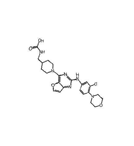 O=C(O)NCC1CCN(c2nc(Nc3ccc(N4CCOCC4)c(Cl)c3)nc3ccoc23)CC1